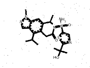 CC(C)c1cc2c(cnn2C)c(C(C)C)c1CC(=O)N=[S@@](N)(=O)c1cnc(C(C)(C)O)s1